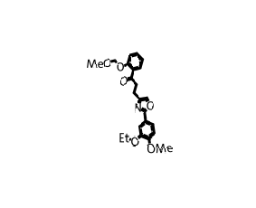 CCOc1cc(-c2nc(CCC(=O)c3ccccc3OCOC)co2)ccc1OC